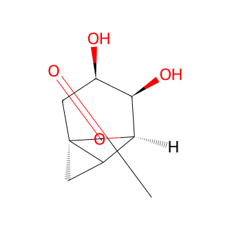 O=C1O[C@@H]2C3C[C@]13C[C@@H](O)[C@H]2O